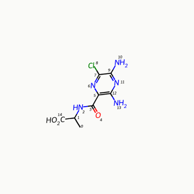 CC(NC(=O)c1nc(Cl)c(N)nc1N)C(=O)O